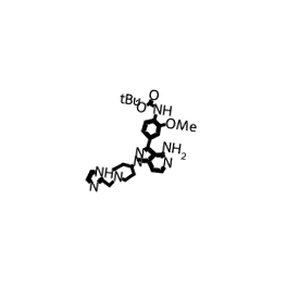 COc1cc(-c2nn(C3CCN(Cc4ncc[nH]4)CC3)c3ccnc(N)c23)ccc1NC(=O)OC(C)(C)C